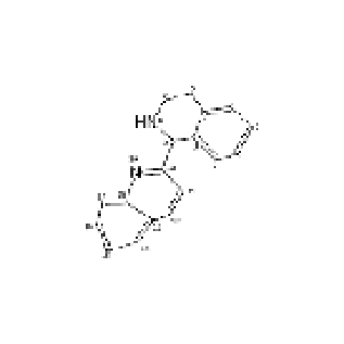 c1ccc2c(c1)CCNC2c1ccc2ccccc2n1